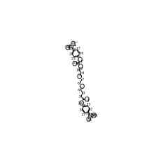 O=C(CCCOCCOCCOC(=O)Oc1ccc([N+](=O)[O-])cc1)Oc1ccc([N+](=O)[O-])cc1